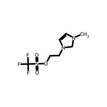 CN1C=CN(CCOS(=O)(=O)C(F)(F)F)C1